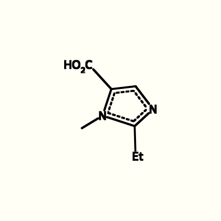 CCc1ncc(C(=O)O)n1C